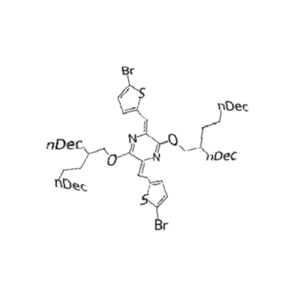 CCCCCCCCCCCCC(CCCCCCCCCC)COc1n/c(=C\c2ccc(Br)s2)c(OCC(CCCCCCCCCC)CCCCCCCCCCCC)n/c1=C\c1ccc(Br)s1